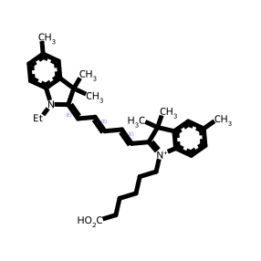 CCN1/C(=C/C=C/C=C/C2=[N+](CCCCCC(=O)O)c3ccc(C)cc3C2(C)C)C(C)(C)c2cc(C)ccc21